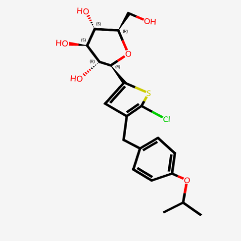 CC(C)Oc1ccc(Cc2cc([C@@H]3O[C@H](CO)[C@@H](O)[C@H](O)[C@H]3O)sc2Cl)cc1